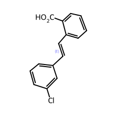 O=C(O)c1ccccc1/C=C/c1cccc(Cl)c1